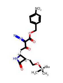 CC(C)(C)[Si](C)(C)OCC[C@@H]1C(=O)N[C@@H]1CC(=O)C(=[N+]=[N-])C(=O)OCc1ccc([N+](=O)[O-])cc1